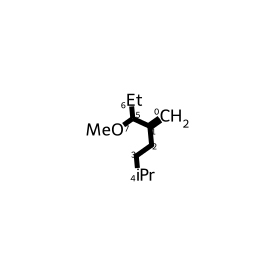 C=C(CCC(C)C)C(CC)OC